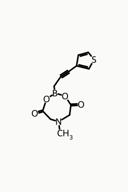 CN1CC(=O)OB(CC#Cc2ccsc2)OC(=O)C1